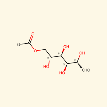 CCC(=O)OC[C@@H](O)[C@@H](O)[C@H](O)[C@@H](O)C=O